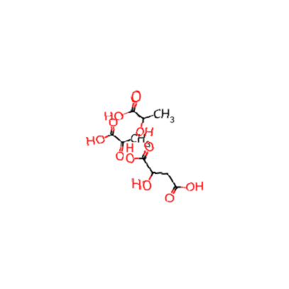 CC(=O)C(=O)O.CC(O)C(=O)O.O=C(O)CC(O)C(=O)O